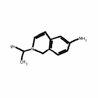 CC(C)C(C)N1C=Cc2cc(N)ccc2C1